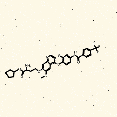 COc1cc2c(Oc3ccc(NC(=O)c4ccc(C(F)(F)F)cc4)cc3F)ccnc2cc1OCCC(N)C(=O)OC1CCCC1